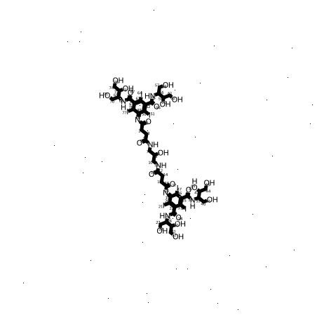 O=C(CCC(=O)NCC(O)CNC(=O)CCC(=O)N=C1C(I)=C(C(=O)NC(CO)C(O)CO)C(I)=C(C(=O)NC(CO)C(O)CO)C1I)N=C1C(I)=C(C(=O)NC(CO)C(O)CO)C(I)=C(C(=O)NC(CO)C(O)CO)C1I